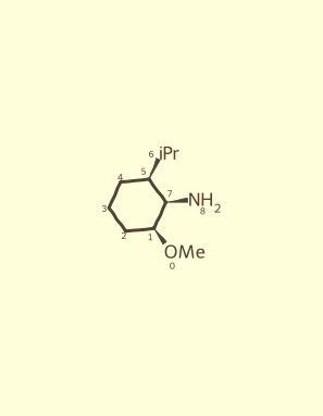 CO[C@H]1CCC[C@@H](C(C)C)[C@H]1N